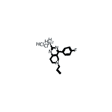 C=CCN1CCc2nc(N)nc(-c3ccc(F)cc3)c2C1.Cl.Cl